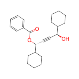 O=C(O[C@H](C#C[C@H](O)C1CCCCC1)C1CCCCC1)c1ccccc1